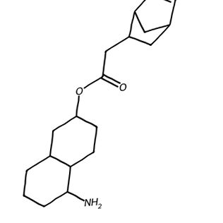 NC1CCCC2CC(OC(=O)CC3CC4C=CC3C4)CCC12